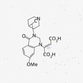 COc1ccc2c(c1)N(/C(=C\C(=O)O)C(=O)O)CN(C1CN3CCC1CC3)C2=O